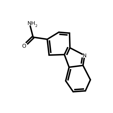 NC(=O)c1ccc2c(c1)C1=CC=CCC1=N2